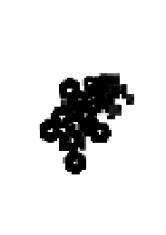 BC(=C)/C(C1=C(n2c3ccccc3c3c2ccc2c4ccccc4n(-c4nc(-c5ccccc5)nc(-c5ccccc5)n4)c23)CCC=C1)=C(O)\C(B)=C(\B)C